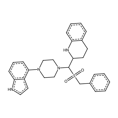 O=S(=O)(Cc1ccccc1)C(C1CCc2ccccc2N1)N1CCN(c2cccc3[nH]ccc23)CC1